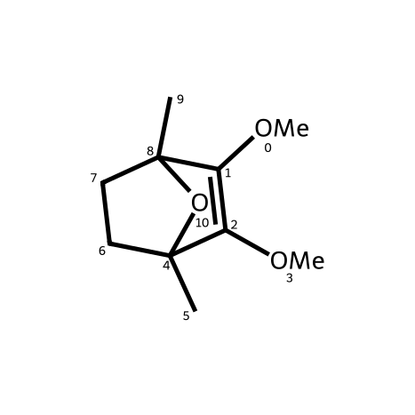 COC1=C(OC)C2(C)CCC1(C)O2